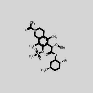 Cc1c2c(c(C)c([C@H](OC(C)(C)C)C(=O)O[C@@H]3C[C@H](C)CC[C@H]3C(C)C)c1OS(=O)(=O)C(F)(F)F)CCN(C(=O)C(F)(F)F)C2